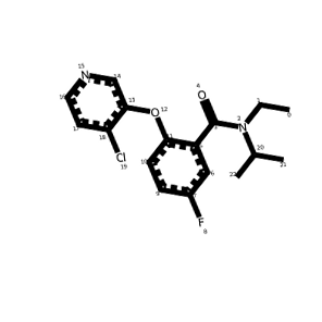 CCN(C(=O)c1cc(F)ccc1Oc1cnccc1Cl)C(C)C